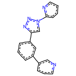 c1ccc(-n2cc(-c3cccc(-c4cccnc4)c3)nn2)nc1